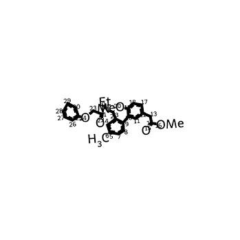 CCN(Cc1cc(C)ccc1-c1cc(CC(=O)OC)ccc1OC)C(=O)COc1ccccc1